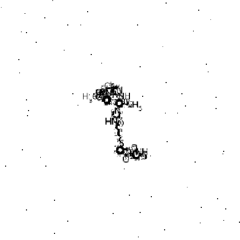 COc1cc(N2CCC(NC(=O)CCCCCSc3cccc4c3CN(C3CCC(=O)NC3=O)C4=O)CC2)ccc1Nc1ncc(Cl)c(Nc2ccccc2P(=O)(OC)OC)n1